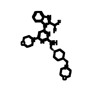 FC(F)c1nc2ccccc2n1-c1cc(N2CCOCC2)nc(NC[C@H]2CC[C@H](CN3CCOCC3)CC2)n1